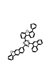 c1ccc(-c2cccc3c2oc2cccc(-c4nc(-c5ccc6cc7c(cc6c5)oc5ccccc57)nc(-c5cc6ccccc6c6ccccc56)n4)c23)cc1